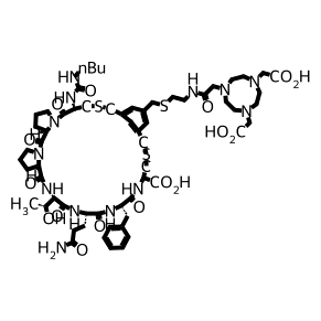 CCCCNC(=O)N[C@H]1CSCc2cc(CSCCNC(=O)CN3CCN(CC(=O)O)CCN(CC(=O)O)CC3)cc(c2)CSCC(C(=O)O)NC(=O)[C@H](Cc2ccccc2)NC(=O)[C@H](CCC(N)=O)NC(=O)[C@H]([C@@H](C)O)NC(=O)[C@@H]2CCCN2C(=O)[C@@H]2CCCN2C1=O